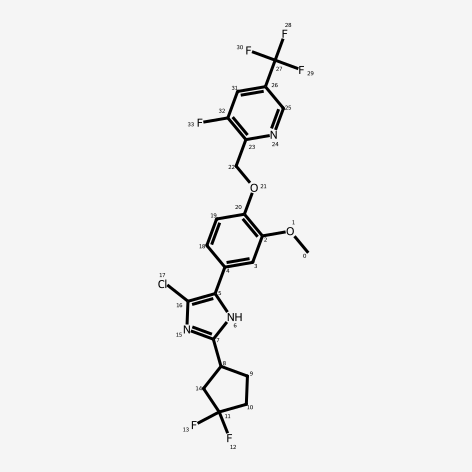 COc1cc(-c2[nH]c(C3CCC(F)(F)C3)nc2Cl)ccc1OCc1ncc(C(F)(F)F)cc1F